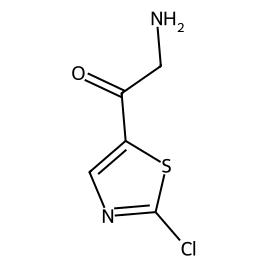 NCC(=O)c1cnc(Cl)s1